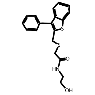 O=C(CSCc1sc2ccccc2c1-c1ccccc1)NCCO